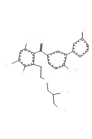 CCc1c(O)cc(O)c(C(=O)c2ccc(OC)c(-c3cccc(O)c3)c2)c1CCOCC(O)CO